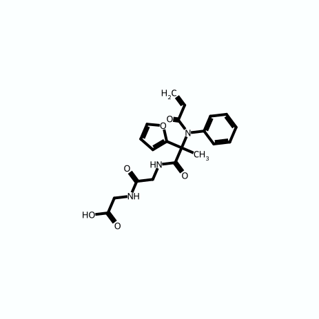 C=CC(=O)N(c1ccccc1)C(C)(C(=O)NCC(=O)NCC(=O)O)c1ccco1